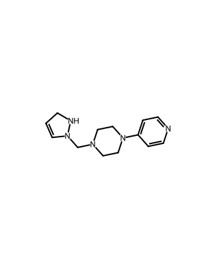 C1=CN(CN2CCN(c3ccncc3)CC2)NC1